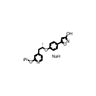 CC(C)Oc1cc(C[C@H](C)Oc2ccc(-c3cc(O)no3)cc2)ccn1.[NaH]